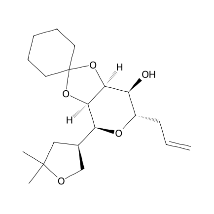 C=CC[C@@H]1O[C@@H]([C@H]2COC(C)(C)C2)[C@H]2OC3(CCCCC3)O[C@H]2[C@H]1O